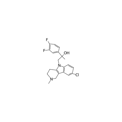 CN1CCc2c(c3cc(Cl)ccc3n2CC(C)(O)c2ccc(F)c(F)c2)C1